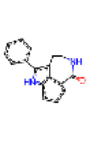 O=C1NCCc2c(-c3ccccc3)[nH]c3cccc1c23